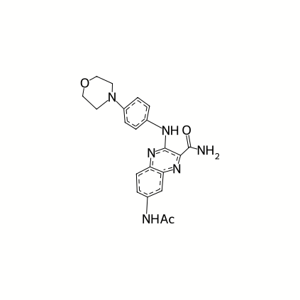 CC(=O)Nc1ccc2nc(Nc3ccc(N4CCOCC4)cc3)c(C(N)=O)nc2c1